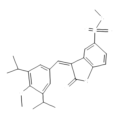 CNS(=O)(=O)c1ccc2c(c1)C(=Cc1cc(C(C)C)c(OC)c(C(C)C)c1)C(=O)N2